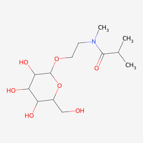 CC(C)C(=O)N(C)CCOC1OC(CO)C(O)C(O)C1O